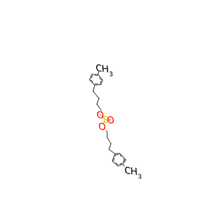 Cc1ccc(CCCCOS(=O)OCCCCc2ccc(C)cc2)cc1